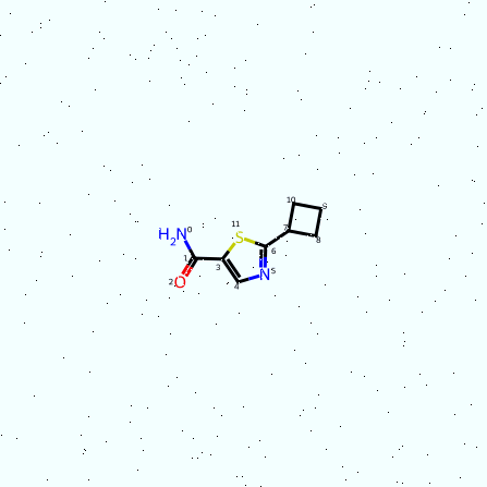 NC(=O)c1cnc(C2CCC2)s1